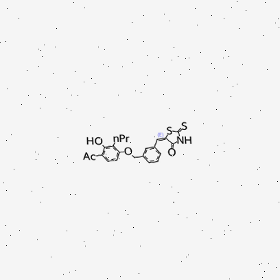 CCCc1c(OCc2cccc(/C=C3/SC(=S)NC3=O)c2)ccc(C(C)=O)c1O